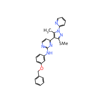 CSc1nn(-c2ccccn2)c(C)c1-c1ccnc(Nc2cccc(OCc3ccccc3)c2)n1